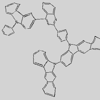 c1ccc(-n2c3ccccc3c3cc(-c4nc(-c5ccc(-n6c7cc(-n8c9ccccc9c9cc%10ccccc%10cc98)ccc7c7cc8ccccc8cc76)cc5)nc5ccccc45)ccc32)cc1